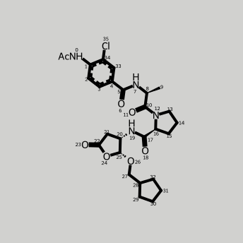 CC(=O)Nc1ccc(C(=O)N[C@@H](C)C(=O)N2CCC[C@H]2C(=O)N[C@H]2CC(=O)O[C@H]2OCC2CCCC2)cc1Cl